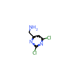 NCc1cc(Cl)nc(Cl)n1